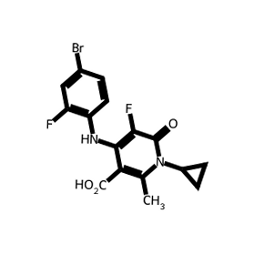 Cc1c(C(=O)O)c(Nc2ccc(Br)cc2F)c(F)c(=O)n1C1CC1